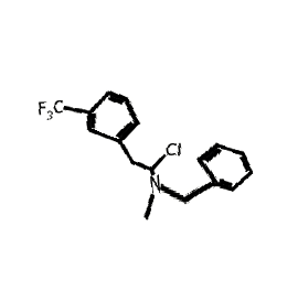 CN(Cc1ccccc1)C(Cl)Cc1cccc(C(F)(F)F)c1